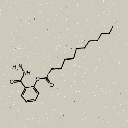 CCCCCCCCCCCC(=O)Oc1ccccc1C(=O)NN